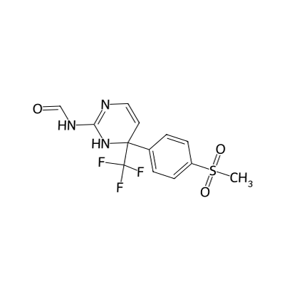 CS(=O)(=O)c1ccc(C2(C(F)(F)F)C=CN=C(NC=O)N2)cc1